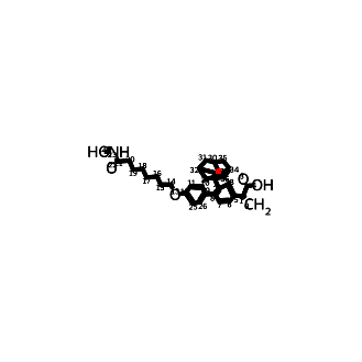 C=C(C(=O)O)c1ccc(-c2ccc(OCCCCCCCC(=O)NO)cc2)c(C23CC4CC(CC(C4)C2)C3)c1